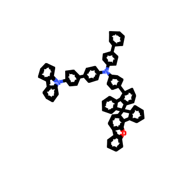 c1ccc(-c2ccc(N(c3ccc(-c4ccc(-n5c6ccccc6c6ccccc65)cc4)cc3)c3ccc(-c4cccc5c4-c4ccccc4C54c5ccccc5-c5c4ccc4c5oc5ccccc54)cc3)cc2)cc1